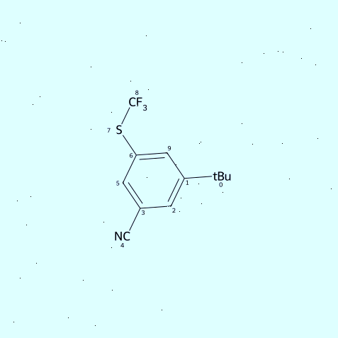 CC(C)(C)c1cc(C#N)cc(SC(F)(F)F)c1